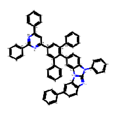 c1ccc(-c2ccc3nc4n(-c5ccccc5)c5ccc(-c6c(-c7ccccc7)cc(-c7cc(-c8ccccc8)nc(-c8ccccc8)n7)cc6-c6ccccc6)cc5n4c3c2)cc1